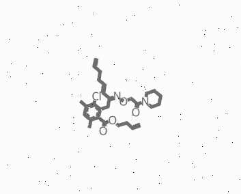 C=CCC/C=C/C(Cc1c(Cl)c(C)cc(C)c1C(=O)OCCC=C)=N/OCC(=O)N1CCCCC1